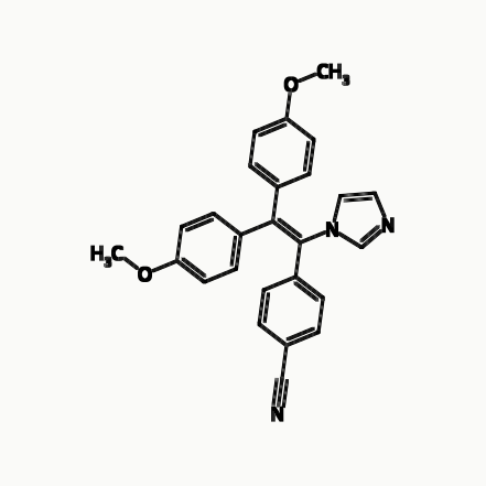 COc1ccc(C(=C(c2ccc(C#N)cc2)n2ccnc2)c2ccc(OC)cc2)cc1